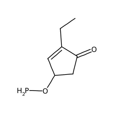 CCC1=CC(OP)CC1=O